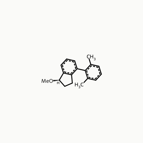 CO[C@@H]1CCc2c(-c3c(C)cccc3C)cccc21